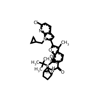 Cc1c(-c2cc3ccc(Cl)nc3n2CC2CC2)oc2cc(C(=O)N3CC4CCC3[C@@H]4N(C(=O)O)C(C)(C)C)ccc12